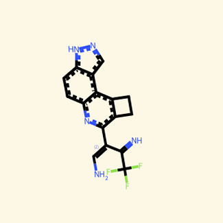 N=C(/C(=C\N)c1nc2ccc3[nH]ncc3c2c2c1CC2)C(F)(F)F